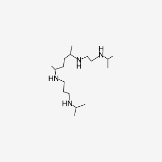 CC(C)NCCCNC(C)CCC(C)NCCNC(C)C